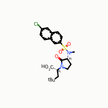 CN([C@@H]1CCN([C@H](CC(C)(C)C)C(=O)O)C1=O)S(=O)(=O)c1ccc2cc(Cl)ccc2c1